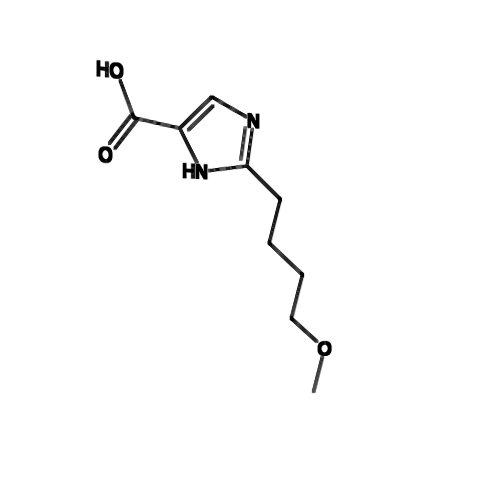 COCCCCc1ncc(C(=O)O)[nH]1